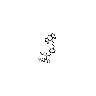 CCOC(Cc1ccc(CCCN2c3sccc3Cc3ccsc32)cc1)C(=O)O